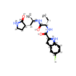 CC(C)C[C@H](NC(=O)c1cc2cc(F)ccc2[nH]1)C(=O)N[C@H](C#N)C[C@@H]1CCNC1=O